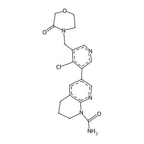 NC(=O)N1CCCc2cc(-c3cncc(CN4CCOCC4=O)c3Cl)cnc21